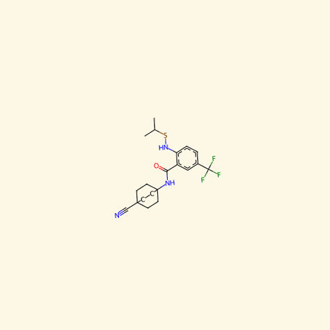 CC(C)SNc1ccc(C(F)(F)F)cc1C(=O)NC12CCC(C#N)(CC1)CC2